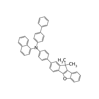 CC1(C)c2cc(-c3ccc(N(c4ccc(-c5ccccc5)cc4)c4cccc5ccccc45)cc3)ccc2-c2oc3ccccc3c21